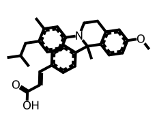 COc1ccc2c(c1)CCN(c1ccc(CC(C)C)c(C)c1)C2(C)c1ccc(C=CC(=O)O)cc1